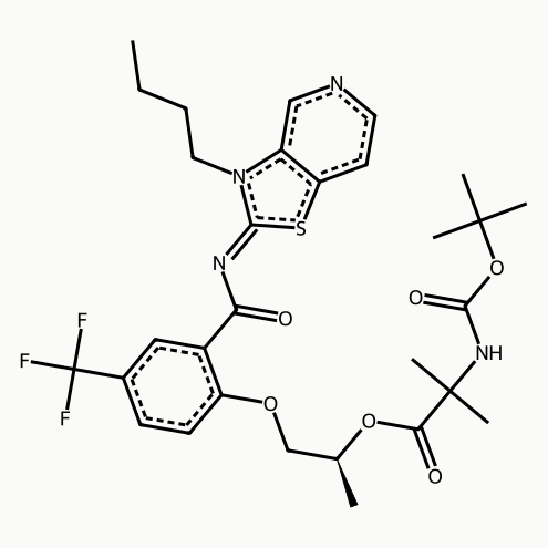 CCCCn1/c(=N/C(=O)c2cc(C(F)(F)F)ccc2OC[C@H](C)OC(=O)C(C)(C)NC(=O)OC(C)(C)C)sc2ccncc21